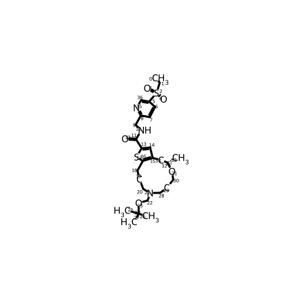 CCS(=O)(=O)c1ccc(CNC(=O)c2cc3c(s2)CCCN(COC(C)(C)C)CCCO[C@@H](C)C3)nc1